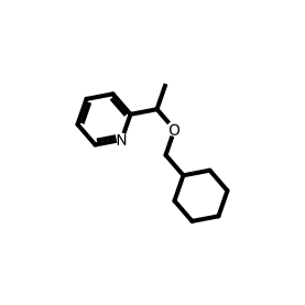 CC(OCC1CCCCC1)c1ccccn1